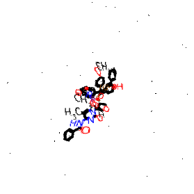 COc1ccc(C(OC[C@@]23CO[C@@H]([C@H](n4cc(C)c(NC(=O)c5ccccc5)nc4=O)O2)[C@@H]3OP(SCC[SH]=C(O)c2ccccc2)N2CCCC2)(c2ccccc2)c2ccc(OC)cc2)cc1